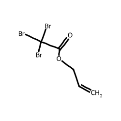 C=CCOC(=O)C(Br)(Br)Br